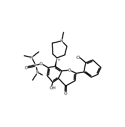 CN1C[CH][C@@H](c2c(OP(=O)(N(C)C)N(C)C)cc(O)c3c(=O)cc(-c4ccccc4Cl)oc23)CC1